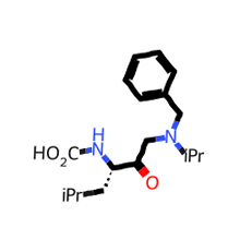 CC(C)C[C@H](NC(=O)O)C(=O)CN(Cc1ccccc1)C(C)C